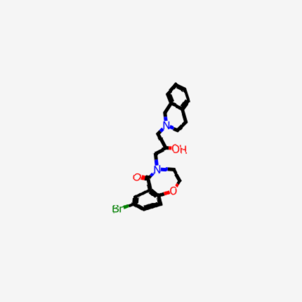 O=C1c2cc(Br)ccc2OCCN1CC(O)CN1CCc2ccccc2C1